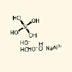 O[Si](O)(O)O.[Al+3].[Na+].[OH-].[OH-].[OH-].[OH-]